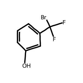 Oc1cccc(C(F)(F)Br)c1